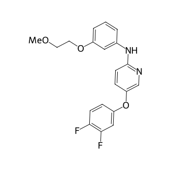 COCCOc1cccc(Nc2ccc(Oc3ccc(F)c(F)c3)cn2)c1